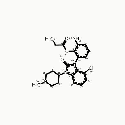 CCC(=O)Oc1c(N)cccc1-n1c(=O)n(C2CCN(C)CC2)c2cccc(Cl)c21